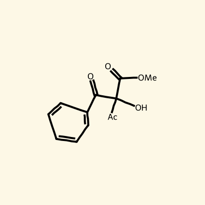 COC(=O)C(O)(C(C)=O)C(=O)c1ccccc1